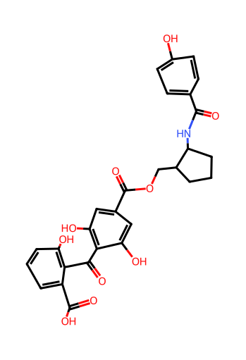 O=C(NC1CCCC1COC(=O)c1cc(O)c(C(=O)c2c(O)cccc2C(=O)O)c(O)c1)c1ccc(O)cc1